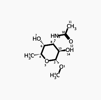 CO[C@@H]1O[C@H](C)[C@H](O)[C@H](NC(C)=O)[C@H]1O